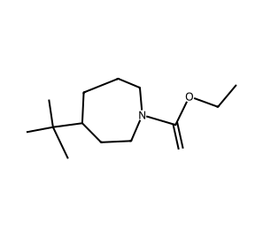 C=C(OCC)N1CCCC(C(C)(C)C)CC1